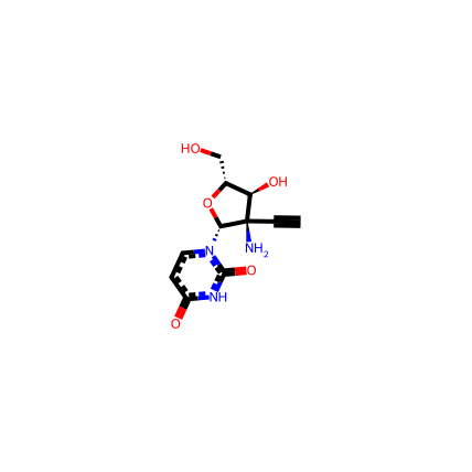 C#C[C@@]1(N)[C@H](O)[C@@H](CO)O[C@H]1n1ccc(=O)[nH]c1=O